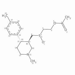 CC(=O)OCC[S+]([O-])C[C@H]1CN(C)CC[C@@H]1c1ccc(C)cc1